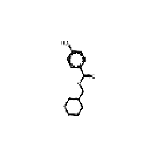 Nc1ccc(C(=O)OCC2CCCCC2)cc1